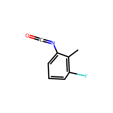 Cc1c(F)cccc1N=C=O